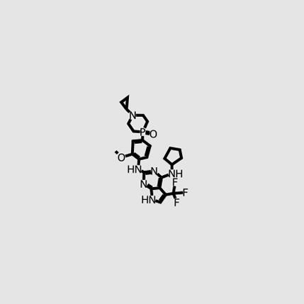 COc1cc(P2(=O)CCN(C3CC3)CC2)ccc1Nc1nc(NC2CCCC2)c2c(C(F)(F)F)c[nH]c2n1